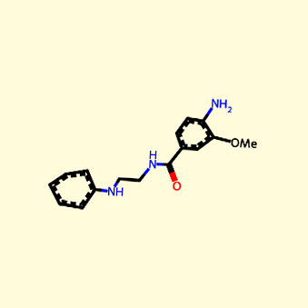 COc1cc(C(=O)NCCNc2ccccc2)ccc1N